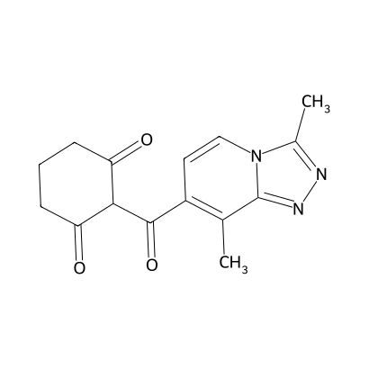 Cc1c(C(=O)C2C(=O)CCCC2=O)ccn2c(C)nnc12